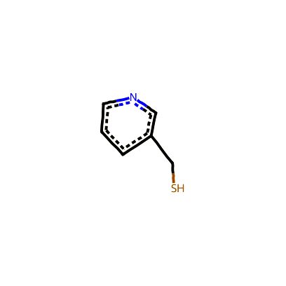 SCc1cccnc1